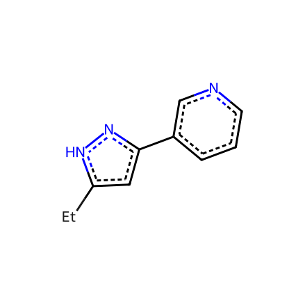 [CH2]Cc1cc(-c2cccnc2)n[nH]1